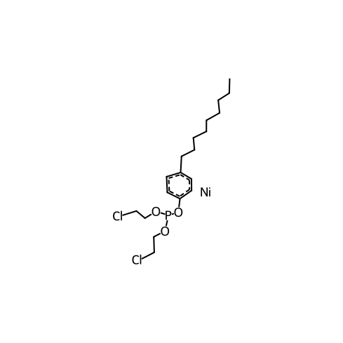 CCCCCCCCCc1ccc(OP(OCCCl)OCCCl)cc1.[Ni]